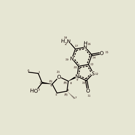 CCC(O)[C@@H]1C[C@@H](C)[C@H](n2c(=O)sc3c(=O)[nH]c(N)nc32)O1